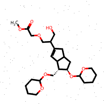 COC(=O)COCC(CO)C1=CC2C(C1)C[C@@H](OC1CCCCO1)[C@@H]2COC1CCCCO1